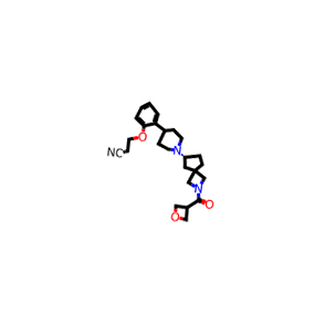 N#CCCOc1ccccc1C1CCN([C@@H]2CCC3(C2)CN(C(=O)C2COC2)C3)CC1